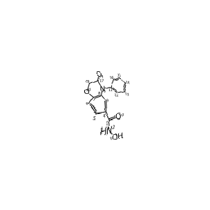 O=C(NO)c1ccc2c(c1)N(c1ccccc1)C(=O)CO2